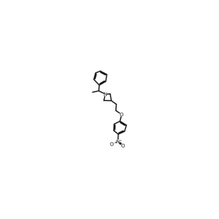 CC(c1ccccc1)N1CC(CCOc2ccc([N+](=O)[O-])cc2)C1